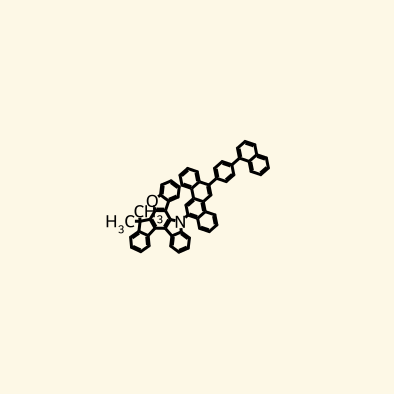 CC1(C)c2ccccc2-c2c1c1oc3ccccc3c1c1c2c2ccccc2n1-c1cc2c3ccccc3c(-c3ccc(-c4cccc5ccccc45)cc3)cc2c2ccccc12